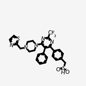 O=[SH](=O)Cc1ccc(-c2nc(C(F)(F)F)nc(N3CCN(Cc4nccs4)CC3)c2-c2ccccc2)cc1